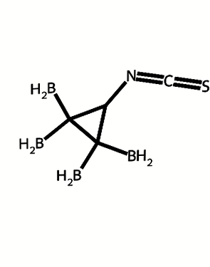 BC1(B)C(N=C=S)C1(B)B